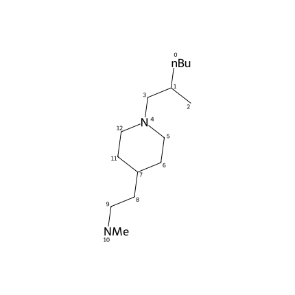 CCCCC(C)CN1CCC(CCNC)CC1